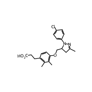 CC1=NN(c2ccc(Cl)cc2)C(COc2ccc(CCC(=O)O)c(C)c2C)C1